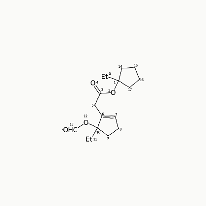 CCC1(OC(=O)CC2=CCCC2(CC)O[C]=O)CCCC1